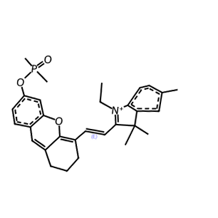 CC[N+]1=C(/C=C/C2=C3Oc4cc(OP(C)(C)=O)ccc4C=C3CCC2)C(C)(C)c2cc(C)ccc21